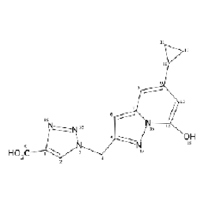 O=C(O)c1cn(Cc2cc3cc(C4CC4)cc(O)n3n2)nn1